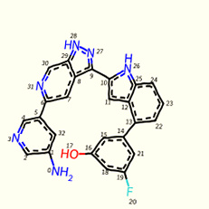 Nc1cncc(-c2cc3c(-c4cc5c(-c6cc(O)cc(F)c6)cccc5[nH]4)n[nH]c3cn2)c1